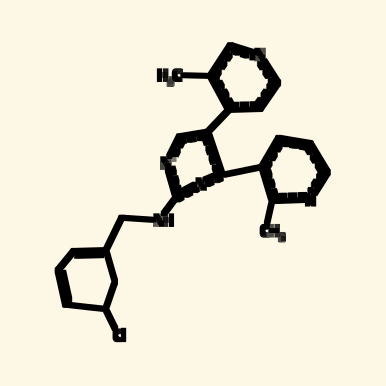 Cc1cnccc1-c1cnc(NCC2=CC=CC(Cl)C2)nc1-c1cccnc1C